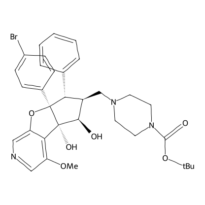 COc1cncc2c1[C@]1(O)[C@H](O)[C@H](CN3CCN(C(=O)OC(C)(C)C)CC3)[C@@H](c3ccccc3)[C@]1(c1ccc(Br)cc1)O2